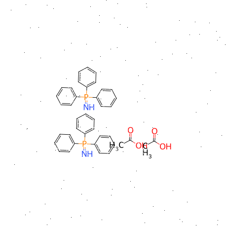 CC(=O)O.CC(=O)O.N=P(c1ccccc1)(c1ccccc1)c1ccccc1.N=P(c1ccccc1)(c1ccccc1)c1ccccc1